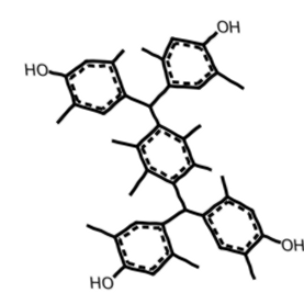 Cc1cc(C(c2cc(C)c(O)cc2C)c2c(C)c(C)c(C(c3cc(C)c(O)cc3C)c3cc(C)c(O)cc3C)c(C)c2C)c(C)cc1O